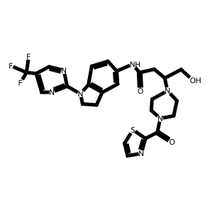 O=C(CC(CO)N1CCN(C(=O)c2nccs2)CC1)Nc1ccc2c(c1)CCN2c1ncc(C(F)(F)F)cn1